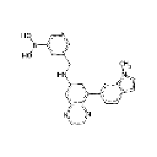 Cn1ccc2ccc(-c3cc(NCc4cncc(B(O)O)c4)cc4nccnc34)cc21